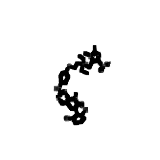 CC[N+](CC)(CCOc1ccc(Nc2ncc3cc(-c4c(Cl)cccc4Cl)c(=O)n(C)c3n2)cc1)Cc1c([N+](=O)[O-])nc(C)n1C